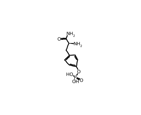 NC(=O)[C@@H](N)Cc1ccc(OP(=O)(O)O)cc1